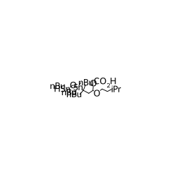 CCC[CH2][SnH]([CH2]CCC)[O][Sn]([CH2]CCC)([CH2]CCC)[C](C)(C)CC(OCCC(C)C)OC(=O)O